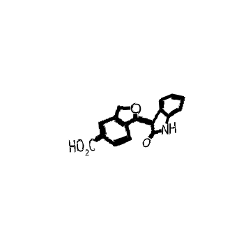 O=C1Nc2ccccc2C1=C1OCc2cc(C(=O)O)ccc21